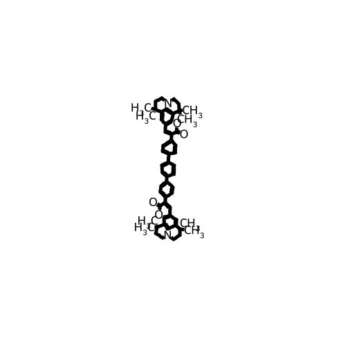 CC1(C)CCN2CCC(C)(C)c3c2c1cc1cc(-c2ccc(-c4ccc(-c5ccc(-c6cc7cc8c9c(c7oc6=O)C(C)(C)CCN9CCC8(C)C)cc5)cc4)cc2)c(=O)oc31